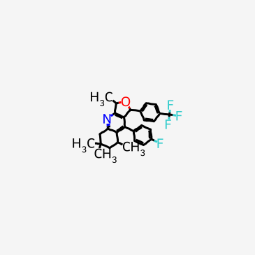 CC1CC(C)(C)Cc2nc3c(c(-c4ccc(F)cc4)c21)C(c1ccc(C(F)(F)F)cc1)OC3C